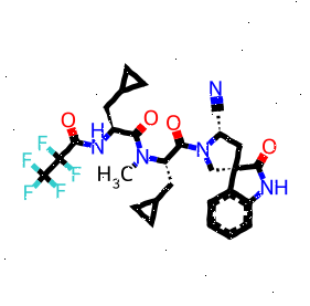 CN(C(=O)[C@H](CC1CC1)NC(=O)C(F)(F)C(F)(F)F)[C@@H](CC1CC1)C(=O)N1C[C@]2(C[C@H]1C#N)C(=O)Nc1ccccc12